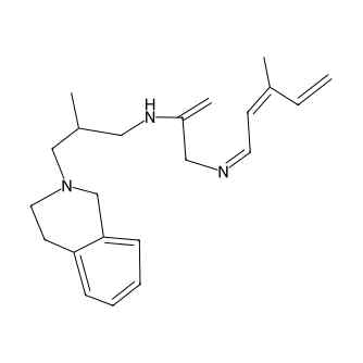 C=C/C(C)=C\C=N/CC(=C)NCC(C)CN1CCc2ccccc2C1